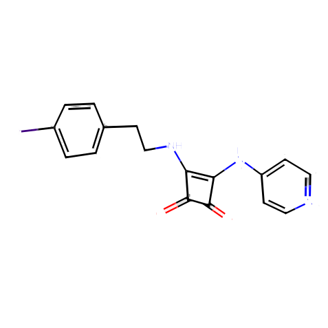 O=c1c(NCCc2ccc(I)cc2)c(Nc2ccncc2)c1=O